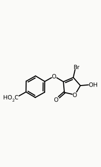 O=C1OC(O)C(Br)=C1Oc1ccc(C(=O)O)cc1